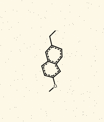 [CH2]Cc1ccc2cc(OC)ccc2c1